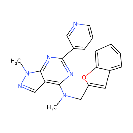 CN(Cc1cc2ccccc2o1)c1nc(-c2cccnc2)nc2c1cnn2C